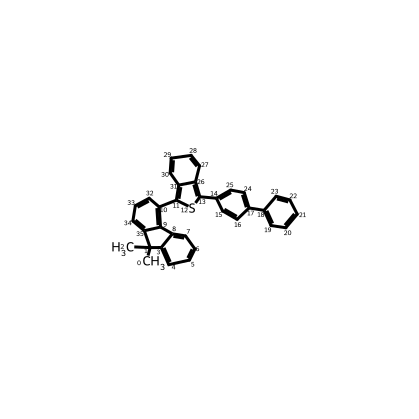 CC1(C)c2ccccc2-c2c(-c3sc(-c4ccc(-c5ccccc5)cc4)c4ccccc34)cccc21